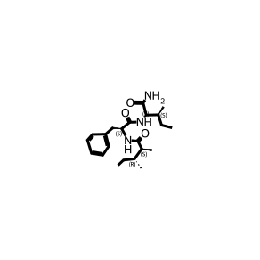 CC[C@@H](C)[C@H](C)C(=O)N[C@@H](Cc1ccccc1)C(=O)N[C@H](C(N)=O)[C@@H](C)CC